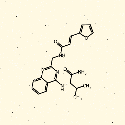 CC(C)[C@H](Nc1nc(CNC(=O)/C=C/c2ccco2)nc2ccccc12)C(N)=O